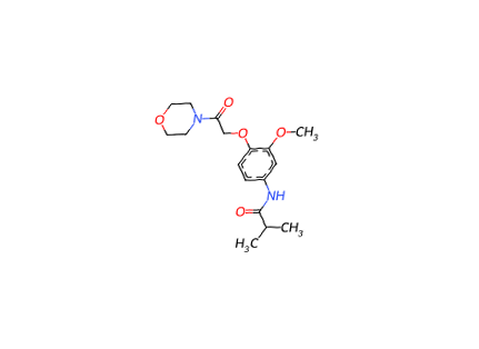 COc1cc(NC(=O)C(C)C)ccc1OCC(=O)N1CCOCC1